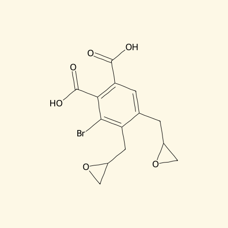 O=C(O)c1cc(CC2CO2)c(CC2CO2)c(Br)c1C(=O)O